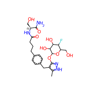 Cc1[nH]nc(OC2OC(CO)C(F)C(O)C2O)c1Cc1ccc(CCCC(=O)N[C@@H](CO)C(N)=O)cc1